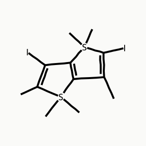 CC1=C(I)S(C)(C)C2=C1S(C)(C)C(C)=C2I